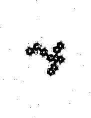 c1ccc2cc(-c3c4ccccc4c(-c4ccc5ccccc5c4)c4cc(-c5ccc(-c6nccc7c6oc6ccccc67)cc5)ccc34)ccc2c1